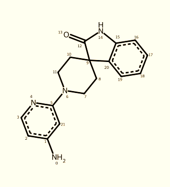 Nc1ccnc(N2CCC3(CC2)C(=O)Nc2ccccc23)c1